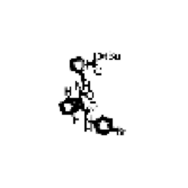 CC(C)(C)OC(=O)N1CCCC1CNC(=O)[C@H]1[C@H](C(=O)Nc2ccc(Br)cc2)[C@@H]2C=C[C@H]1C21CC1